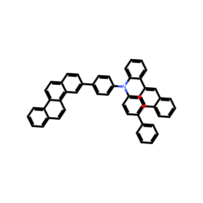 c1ccc(-c2ccc(N(c3ccc(-c4ccc5ccc6c7ccccc7ccc6c5c4)cc3)c3ccccc3-c3ccc4ccccc4c3)cc2)cc1